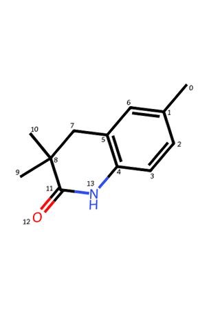 Cc1ccc2c(c1)CC(C)(C)C(=O)N2